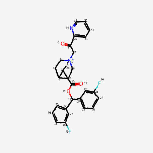 O=C(C[N+]12CCC(CC1)C(C(=O)OC(c1cccc(F)c1)c1cccc(F)c1)C2)c1ccccn1